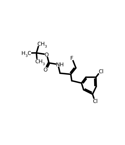 CC(C)(C)OC(=O)NCC(=CF)Cc1cc(Cl)cc(Cl)c1